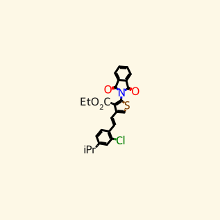 CCOC(=O)c1c(C=Cc2ccc(C(C)C)cc2Cl)csc1N1C(=O)c2ccccc2C1=O